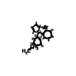 BrC1=CC=CS1(c1ccccc1)c1ccccc1.C=C